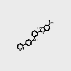 CN(C)c1ccc2nc(-c3cccc(Nc4ccc(-c5cccnn5)cc4)c3)[nH]c2c1